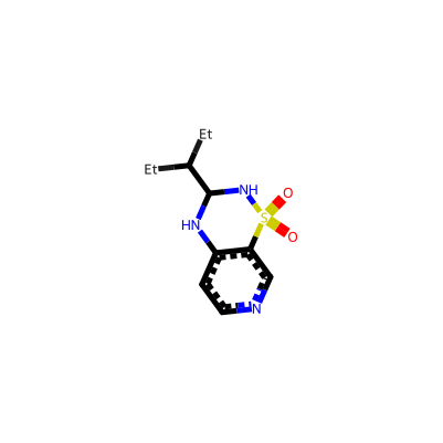 CCC(CC)C1Nc2ccncc2S(=O)(=O)N1